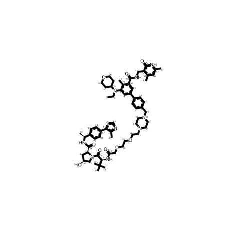 CCN(c1cc(-c2ccc(CN3CCN(CCOCCOCC(=O)N[C@H](C(=O)N4C[C@H](O)C[C@H]4C(=O)N[C@@H](C)c4ccc(-c5scnc5C)cc4)C(C)(C)C)CC3)cc2)cc(C(=O)NCc2c(C)cc(C)[nH]c2=O)c1C)C1CCOCC1